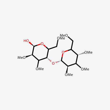 COCC1O[C@@H](O[C@H]2C(COC)O[C@H](O)[C@H](OC)C2OC)[C@H](OC)C(OC)[C@H]1OC